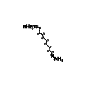 CCCCCCCCCCCCCCC/C=N/N